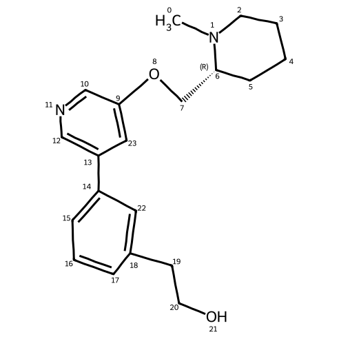 CN1CCCC[C@@H]1COc1cncc(-c2cccc(CCO)c2)c1